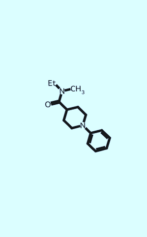 CCN(C)C(=O)C1CCN(c2ccccc2)CC1